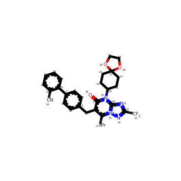 CCCc1c(Cc2ccc(-c3ccccc3C#N)cc2)c(=O)n(C2CCC3(CC2)OCCO3)c2nc(C(F)(F)F)nn12